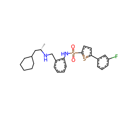 C[C@@H](CC1CCCCC1)NCc1ccccc1NS(=O)(=O)c1ccc(-c2cccc(F)c2)s1